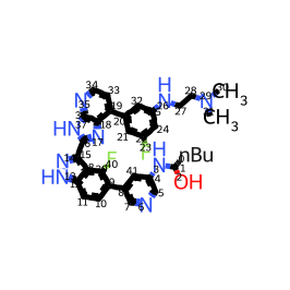 CCCCC(O)Nc1cncc(-c2ccc3[nH]nc(-c4nc5c(-c6cc(F)cc(NCCN(C)C)c6)ccnc5[nH]4)c3c2F)c1